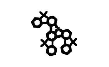 CC1(C)c2ccccc2-c2c1ccc1c2c2cc3c(c4c5c6c(ccc5n1c24)C(C)(C)c1ccccc1-6)-c1ccccc1C3(C)C